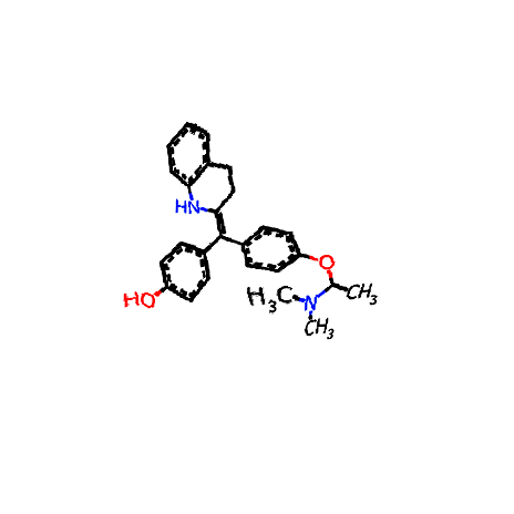 CC(Oc1ccc(C(=C2CCc3ccccc3N2)c2ccc(O)cc2)cc1)N(C)C